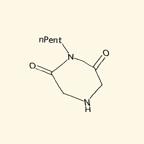 CCCCCN1C(=O)CNCC1=O